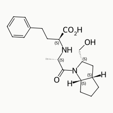 C[C@H](N[C@@H](CCc1ccccc1)C(=O)O)C(=O)N1[C@H](CO)C[C@@H]2CCC[C@@H]21